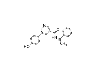 C[C@@H](NC(=O)c1cncc(-c2ccc(O)cc2)c1)c1ccccc1